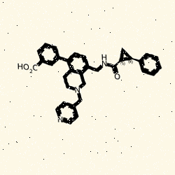 O=C(O)c1cccc(-c2ccc(CNC(=O)[C@H]3C[C@H]3c3ccccc3)c3c2CCN(Cc2ccncc2)C3)c1